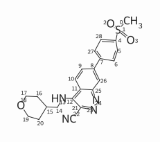 CS(=O)(=O)c1ccc(-c2ccc3c(NCC4CCOCC4)c(C#N)nnc3c2)cc1